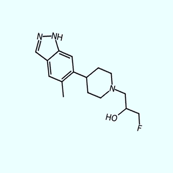 Cc1cc2cn[nH]c2cc1C1CCN(CC(O)CF)CC1